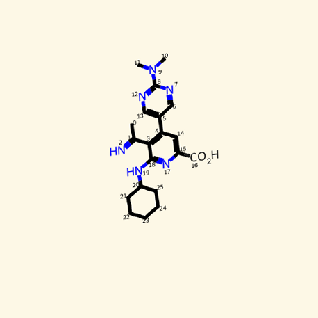 CC(=N)c1c(-c2cnc(N(C)C)nc2)cc(C(=O)O)nc1NC1CCCCC1